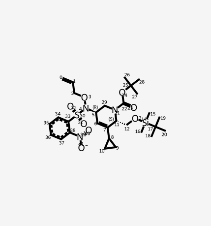 C=CCON([C@@H]1C=C(C2CC2)[C@@H](CO[Si](C)(C)C(C)(C)C)N(C(=O)OC(C)(C)C)C1)S(=O)(=O)c1ccccc1[N+](=O)[O-]